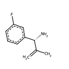 C=C(C)[C@@H](N)c1cccc(F)c1